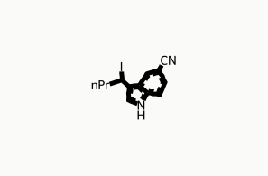 CCCC(I)c1c[nH]c2ccc(C#N)cc12